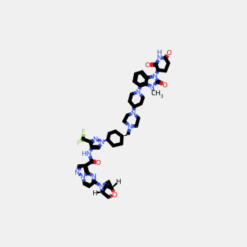 Cn1c(=O)n(C2CCC(=O)NC2=O)c2cccc(N3CCC(N4CCN(C[C@H]5CC[C@H](n6cc(NC(=O)c7cnn8ccc(N9C[C@H]%10C[C@@H]9CO%10)nc78)c(C(F)F)n6)CC5)CC4)CC3)c21